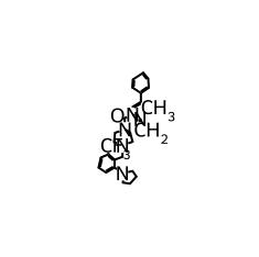 C=NN(/C=C(\C)c1ccccc1)C(=O)N1CCN(Cc2c(N3CCCC3)cccc2C(F)(F)F)CC1